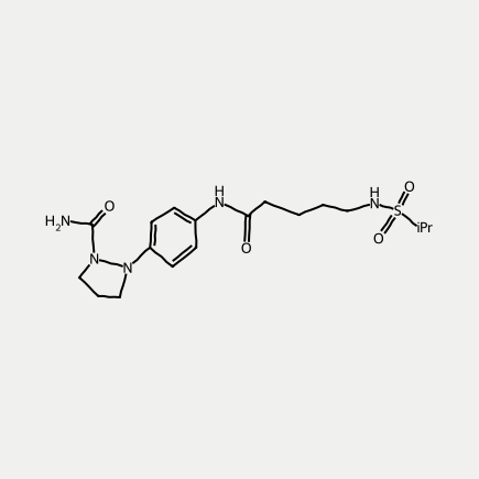 CC(C)S(=O)(=O)NCCCCC(=O)Nc1ccc(N2CCCN2C(N)=O)cc1